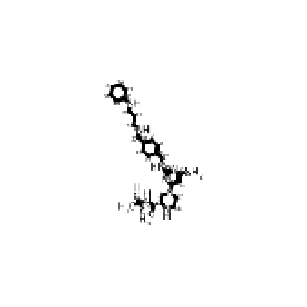 CC(C)(C)NC(=O)[C@@H]1CN(c2cc(N)nc(NCC3CCC(CNCCCNC4CCCCC4)CC3)n2)CCN1